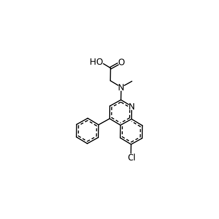 CN(CC(=O)O)c1cc(-c2ccccc2)c2cc(Cl)ccc2n1